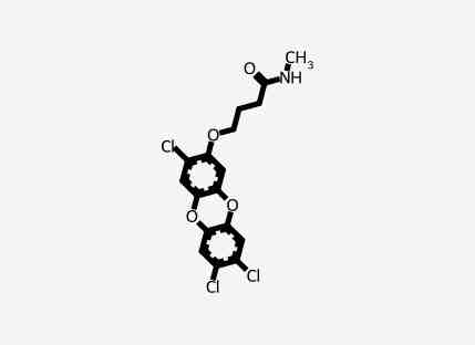 CNC(=O)CCCOc1cc2c(cc1Cl)Oc1cc(Cl)c(Cl)cc1O2